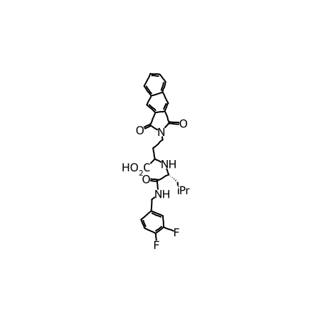 CC(C)C[C@@H](NC(CCN1C(=O)c2cc3ccccc3cc2C1=O)C(=O)O)C(=O)NCc1ccc(F)c(F)c1